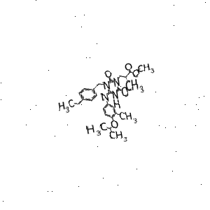 CCc1ccc(Cn2c(=Nc3ccc(OC(C)C)c(C)c3)[nH]c(=O)n(CC(C)C(=O)OC)c2=O)cc1